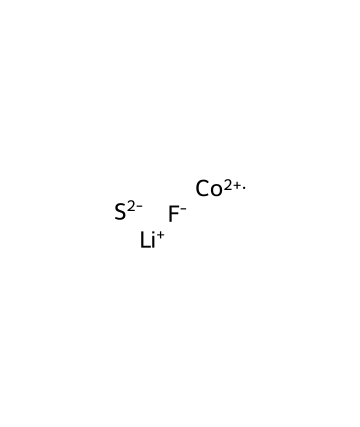 [Co+2].[F-].[Li+].[S-2]